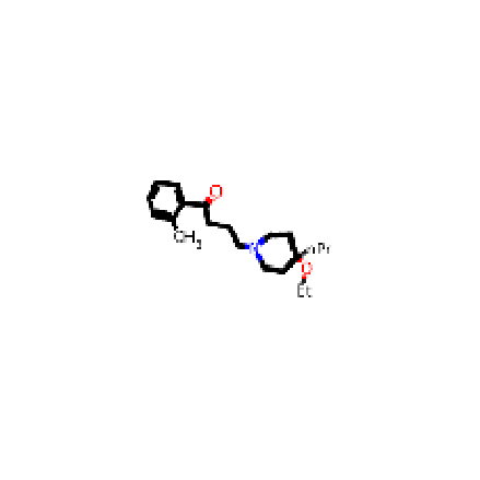 CCCC1(OCC)CCN(CCCC(=O)c2ccccc2C)CC1